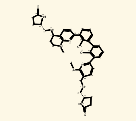 COc1nc(-c2cccc(-c3cccc(-c4ccc5c(n4)N(C)CCC5NC[C@@H]4CCC(=O)N4)c3Cl)c2Cl)ccc1CNC[C@@H]1CCC(=O)N1